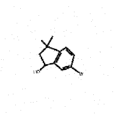 CC1(C)CC(O)c2cc(Br)ccc21